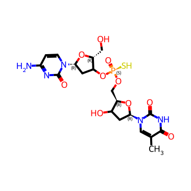 Cc1cn([C@H]2CC(O)[C@@H](CO[P@](=O)(S)OC3C[C@H](n4ccc(N)nc4=O)O[C@@H]3CO)O2)c(=O)[nH]c1=O